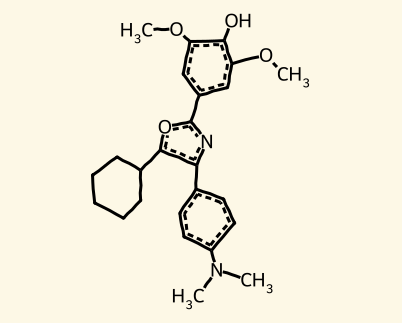 COc1cc(-c2nc(-c3ccc(N(C)C)cc3)c(C3CCCCC3)o2)cc(OC)c1O